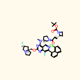 CN(c1nc(OC[C@@]23CCCN2C[C@H](F)C3)nc2c(F)c(-c3cccc4cccc(Cl)c34)ncc12)[C@@H]1CCN(C(=O)/C=C/[C@H]2CCN2C(=O)OC(C)(C)C)C1